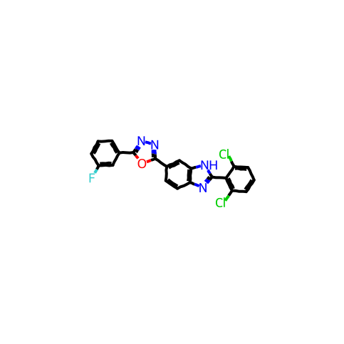 Fc1cccc(-c2nnc(-c3ccc4nc(-c5c(Cl)cccc5Cl)[nH]c4c3)o2)c1